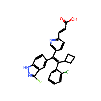 O=C(O)C=Cc1ccc(C(=C(c2ccccc2Cl)C2CCC2)c2ccc3[nH]nc(F)c3c2)cn1